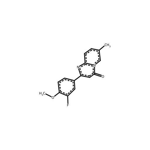 COc1ccc(-c2cc(=O)n3cc(C)ccc3n2)cc1F